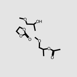 COCC(C)O.COCC(C)OC(C)=O.O=C1OCCO1